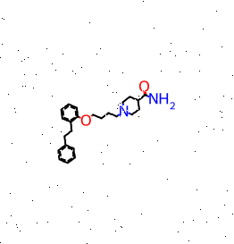 NC(=O)C1CCN(CCCCOc2ccccc2CCc2ccccc2)CC1